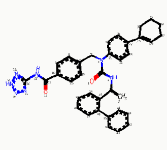 CC(NC(=O)N(Cc1ccc(C(=O)Nc2nn[nH]n2)cc1)c1ccc(C2=CCCCC2)cc1)c1ccccc1-c1ccccc1